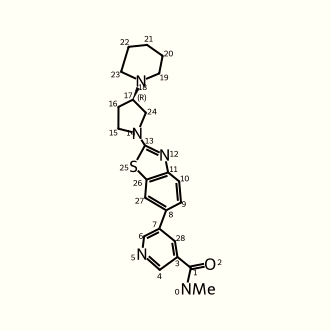 CNC(=O)c1cncc(-c2ccc3nc(N4CC[C@@H](N5CCCCC5)C4)sc3c2)c1